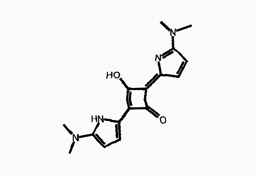 CN(C)C1=N/C(=C2/C(=O)C(c3ccc(N(C)C)[nH]3)=C2O)C=C1